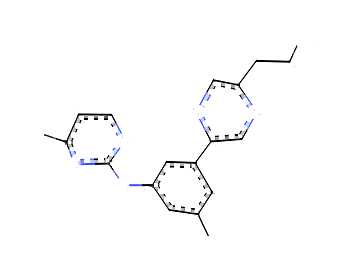 Cc1cc(Nc2nccc(C(F)(F)F)n2)cc(-c2cnc(CCC(=O)O)cn2)c1